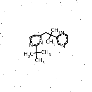 CC(C)(C)c1nccc(CC(C)(C)c2cnccn2)n1